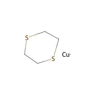 C1CSCCS1.[Cu]